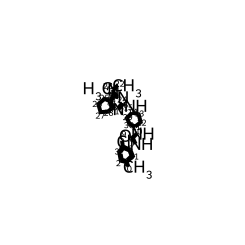 Cc1ccc(Cl)c(NC(=O)NC2CCC(Nc3nc4c(c(N(C)C)n3)CCCC4)CC2)c1